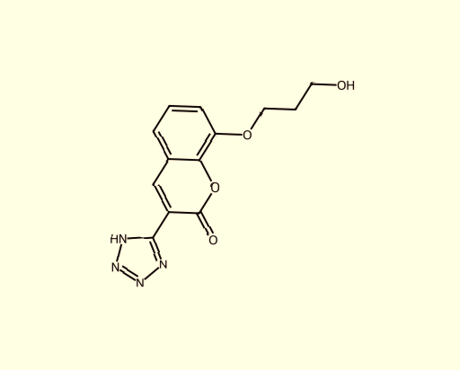 O=c1oc2c(OCCCO)cccc2cc1-c1nnn[nH]1